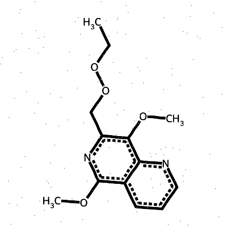 CCOOCc1nc(OC)c2cccnc2c1OC